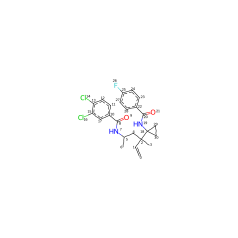 C=CC(C)(CC(C)NC(=O)c1ccc(Cl)c(Cl)c1)C1(NC(=O)c2ccc(F)cc2)CC1